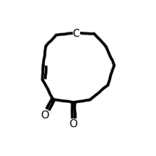 O=C1C=CCCCCCCCCC1=O